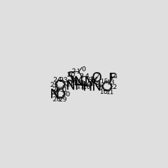 CC(C)C1CN(C(=O)Nc2cccc(F)c2)CCN1C(=S)Nc1cccc2ncccc12